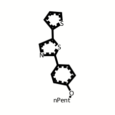 CCCCCOc1ccc(-c2ncc(-c3cccs3)s2)cc1